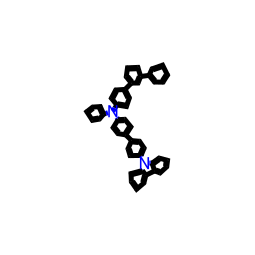 c1ccc(-c2cccc(-c3ccc(N(c4ccccc4)c4ccc(-c5ccc(-n6c7ccccc7c7ccccc76)cc5)cc4)cc3)c2)cc1